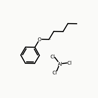 CCCC[CH]Oc1ccccc1.[Cl][Al]([Cl])[Cl]